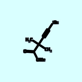 COC(=O)C(C)(C)C#CC(C)(C)C